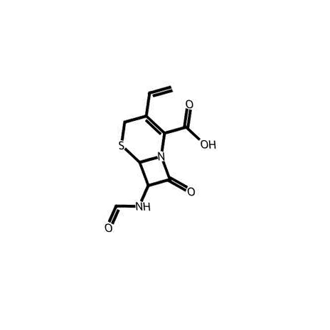 C=CC1=C(C(=O)O)N2C(=O)C(NC=O)C2SC1